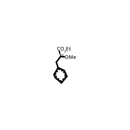 CCOC(=O)[C@H](Cc1ccccc1)OC